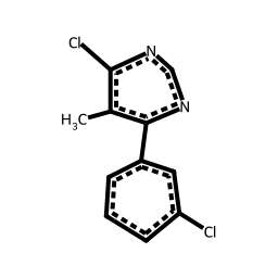 Cc1c(Cl)ncnc1-c1cccc(Cl)c1